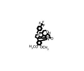 COc1cc2c(cc1OC)C13CC[N+]4(Cc5ccc(C(F)(F)F)cc5)CC5=CCO[C@H]6CC(=O)N2[C@H]1[C@H]6[C@H]5CC34